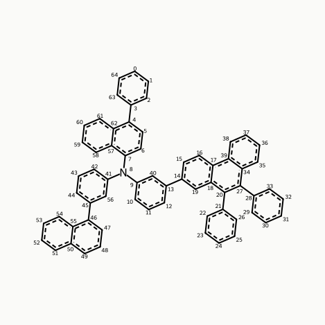 c1ccc(-c2ccc(N(c3cccc(-c4ccc5c(c4)c(-c4ccccc4)c(-c4ccccc4)c4ccccc45)c3)c3cccc(-c4cccc5ccccc45)c3)c3ccccc23)cc1